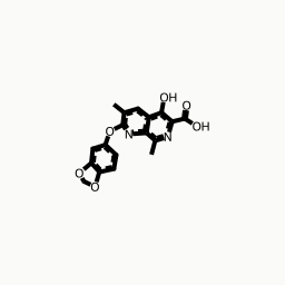 Cc1cc2c(O)c(C(=O)O)nc(C)c2nc1Oc1ccc2c(c1)OCO2